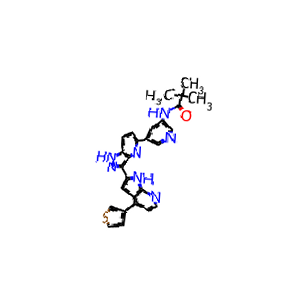 CC(C)(C)C(=O)Nc1cncc(-c2ccc3[nH]nc(-c4cc5c(-c6ccsc6)ccnc5[nH]4)c3n2)c1